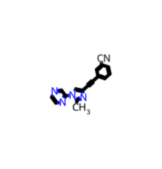 Cc1nc(C#Cc2cccc(C#N)c2)cn1-c1cnccn1